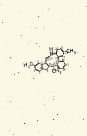 Cc1ccc2c(c1)C1=C(C2)C(C)c2ccccc2-c2cc(C)ccc2N/C=C/1